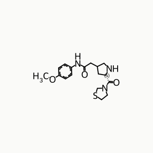 COc1ccc(NC(=O)CC2CN[C@H](C(=O)N3CCSC3)C2)cc1